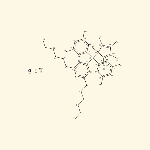 CCCCCCc1cc(CCCCCC)cc([Si](c2cc(C)cc(C)c2)(c2cc(C)cc(C)c2)C2(C)C(C)=C(C)C(C)=[C]2[Ti+3])c1.[Cl-].[Cl-].[Cl-]